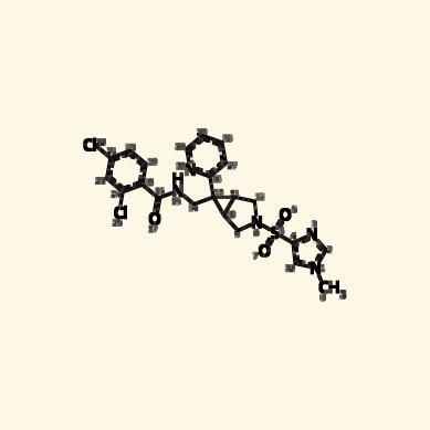 Cn1cnc(S(=O)(=O)N2CC3C(C2)C3(CNC(=O)c2ccc(Cl)cc2Cl)c2ccccn2)c1